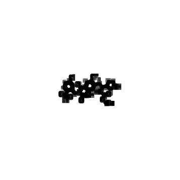 CCS(=O)(=O)c1ccc(Cl)cc1Cn1c(=O)[nH]c2cc(C[C@H](NC(=O)OC(C)(C)C)C3CCNC3)c(C(F)(F)F)cc2c1=O